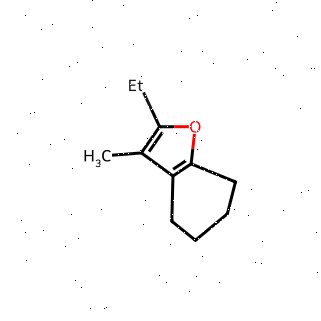 CCc1oc2c(c1C)CCCC2